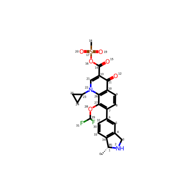 C[C@H]1NCc2cc(-c3ccc4c(=O)c(C(=O)OS(C)(=O)=O)cn(C5CC5)c4c3OC(F)F)ccc21